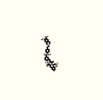 COc1cc2c(cc1OC)CN(CCc1ccc(NC(=O)c3cccc(/C=c4\[nH]c(=O)/c(=C/c5ccccc5)n(CCN(C)C)c4=O)c3)cc1)CC2